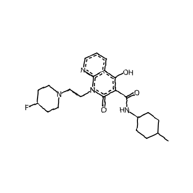 CC1CCC(NC(=O)c2c(O)c3cccnc3n(CCN3CCC(F)CC3)c2=O)CC1